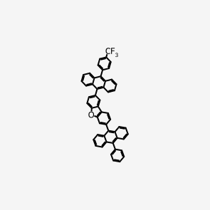 FC(F)(F)c1ccc(-c2c3ccccc3c(-c3ccc4oc5cc(-c6c7ccccc7c(-c7ccccc7)c7ccccc67)ccc5c4c3)c3ccccc23)cc1